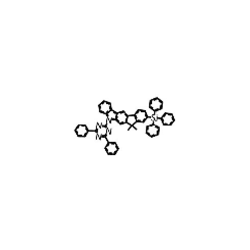 CC1(C)c2cc([Si](c3ccccc3)(c3ccccc3)c3ccccc3)ccc2-c2cc3c4ccccc4n(-c4nc(-c5ccccc5)nc(-c5ccccc5)n4)c3cc21